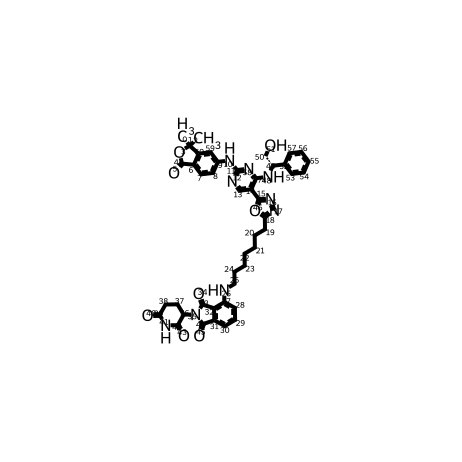 CC1(C)OC(=O)c2ccc(Nc3ncc(-c4nnc(CCCCCCCNc5cccc6c5C(=O)N(C5CCC(=O)NC5=O)C6=O)o4)c(N[C@H](CO)c4ccccc4)n3)cc21